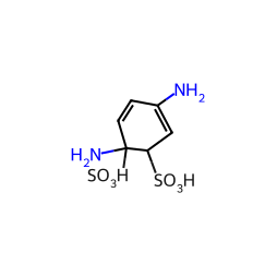 NC1=CC(S(=O)(=O)O)C(N)(S(=O)(=O)O)C=C1